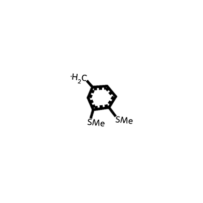 [CH2]c1ccc(SC)c(SC)c1